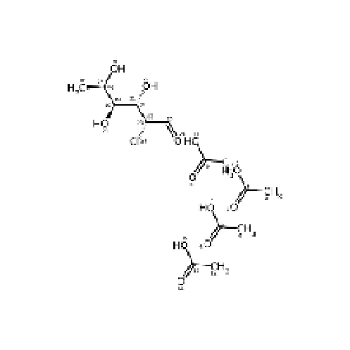 CC(=O)O.CC(=O)O.CC(=O)O.CC(=O)O.C[C@@H](O)[C@H](O)[C@H](O)[C@@H](Cl)C=O